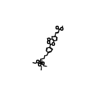 CCO[Si](CCCCc1ccc(C(=O)Oc2ccc(C=CC(=O)OC)cc2OC)cc1)(OCC)OCC